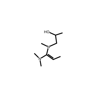 CC=C(N(C)C)N(C)CC(C)O